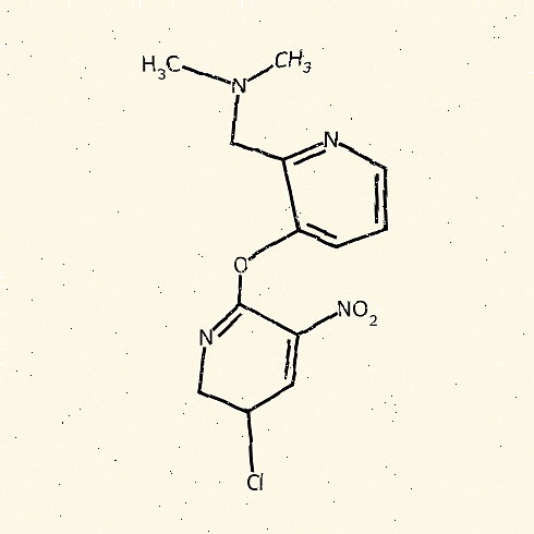 CN(C)Cc1ncccc1OC1=NCC(Cl)C=C1[N+](=O)[O-]